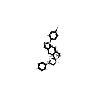 C[C@]12Cc3cnn(-c4ccc(F)cc4)c3C=C1CC[C@@]21OC[C@@H](c2ccccc2)O1